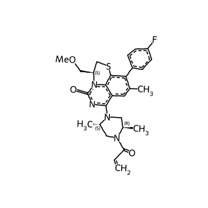 C=CC(=O)N1C[C@H](C)N(c2nc(=O)n3c4c(c(-c5ccc(F)cc5)c(C)cc24)SC[C@@H]3COC)C[C@H]1C